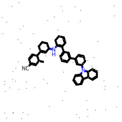 CC1C=C(C#N)C=CC1C1=CC(NC2=C(c3cccc(C4=CC(N5c6ccccc6C6C=CC=CC65)CC=C4)c3)C=CCC2)CCC1